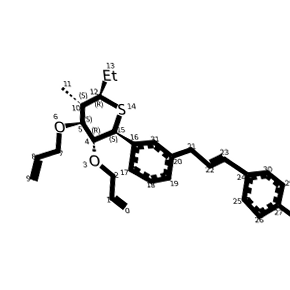 C=CCO[C@@H]1[C@@H](OCC=C)[C@H](C)[C@@H](CC)S[C@H]1c1cccc(CC=Cc2ccc(CC)cc2)c1